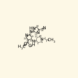 CCCN1CCC(Nc2cc(Nc3cnc(C#N)cn3)ncc2C(=O)OC)CC1